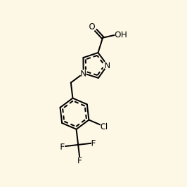 O=C(O)c1cn(Cc2ccc(C(F)(F)F)c(Cl)c2)cn1